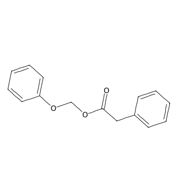 O=C(Cc1ccccc1)OCOc1ccccc1